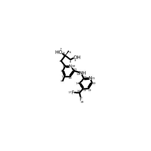 Cc1cc(C[C@](C)(O)CO)nc(Nc2cc(C(F)F)ccn2)c1